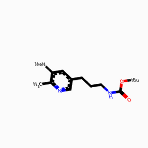 CNc1cc(CCCNC(=O)OC(C)(C)C)cnc1C